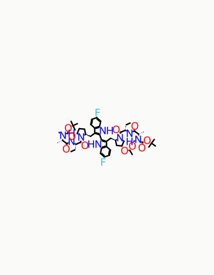 CC[C@H](NC(=O)[C@H](C)N(C)C(=O)OC(C)(C)C)C(=O)N1CCC[C@H]1Cc1c(-c2[nH]c3cc(F)ccc3c2C[C@@H]2C[C@H](OC(C)=O)CN2C(=O)[C@H](CC)NC(=O)[C@H](C)N(C)C(=O)OC(C)(C)C)[nH]c2cc(F)ccc12